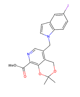 COC(=O)c1ncc(Cn2ccc3cc(I)ccc32)c2c1OC(C)(C)OC2